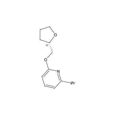 CC(C)c1cccc(OC[C@@H]2CCCO2)n1